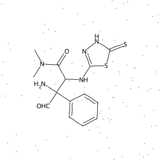 CN(C)C(=O)C(Nc1n[nH]c(=S)s1)C(N)(C=O)c1ccccc1